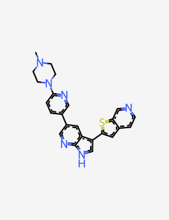 CN1CCN(c2ccc(-c3cnc4[nH]cc(-c5cc6ccncc6s5)c4c3)cn2)CC1